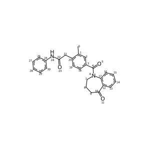 Cc1cc(C(=O)N2CCCC(=O)c3ccccc32)ccc1CC(=O)Nc1ccccc1